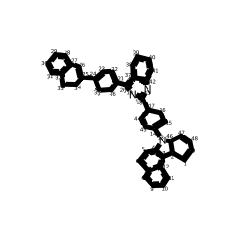 C1=CC2c3c(ccc4ccccc34)N(C3=CCC(c4nc(C5=CC=C(C6=Cc7ccccc7CC6)CC5)c5ccccc5n4)C=C3)C2C=C1